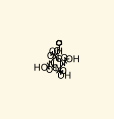 CC(C(=O)O)N1CCN(C(C)C(=O)O)CCN(C(COCc2ccccc2)C(=O)O)CCN(C(C)C(=O)O)CC1